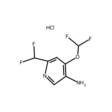 Cl.Nc1cnc(C(F)F)cc1OC(F)F